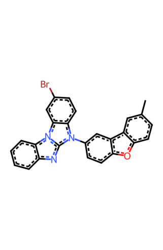 Cc1ccc2oc3ccc(-n4c5ccc(Br)cc5n5c6ccccc6nc45)cc3c2c1